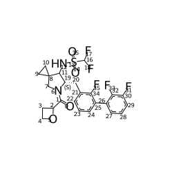 O=C(C1CCO1)N1CC2(CC2)C(NS(=O)(=O)C(F)F)[C@@H]1Cc1cccc(-c2cccc(F)c2F)c1F